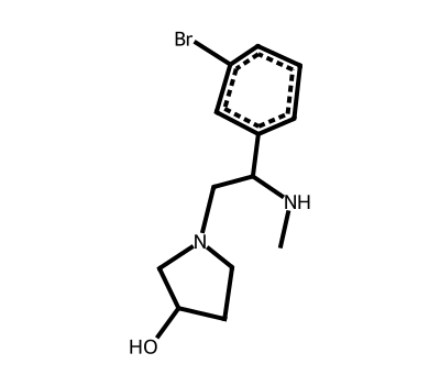 CNC(CN1CCC(O)C1)c1cccc(Br)c1